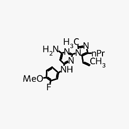 C/C=C\c1c(CCC)nc(C)n1-c1nc(N)cc(Nc2ccc(OC)c(F)c2)n1